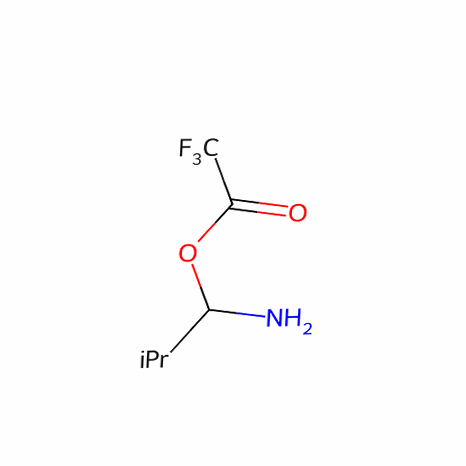 CC(C)C(N)OC(=O)C(F)(F)F